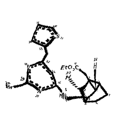 CCOC(=O)[C@@H]1C2CCC(CC2)[C@H]1Nc1cc(-c2cccs2)nc(Br)n1